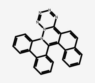 c1ccc2c(c1)C1=c3c(ccc4ccccc34)=C3N=NN=NN3N1c1ccccc1-2